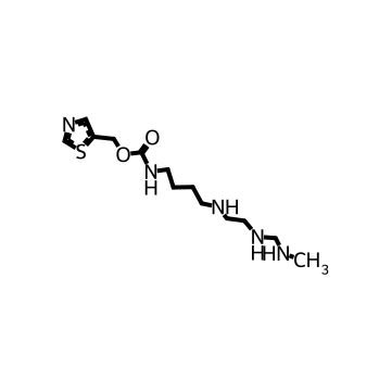 CNCNCCNCCCCNC(=O)OCc1cncs1